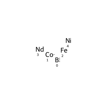 [B].[Co].[Fe].[Nd].[Ni]